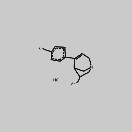 CC(=O)OC1CN2CC=C(c3ccc(Cl)cc3)C1C2.Cl